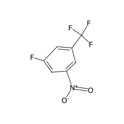 O=[N+]([O-])c1cc(F)cc(C(F)(F)F)c1